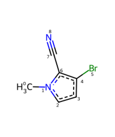 Cn1ccc(Br)c1C#N